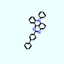 c1ccc(-c2ccc(-c3nc4c5c(cccc5n3)N(c3ccccc3)c3ccccc3-4)cc2)cc1